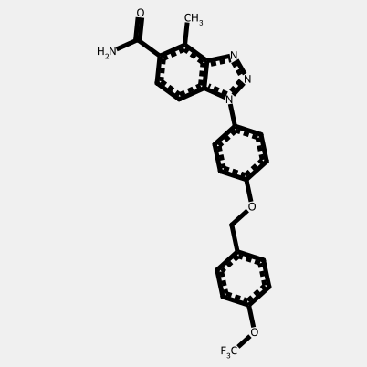 Cc1c(C(N)=O)ccc2c1nnn2-c1ccc(OCc2ccc(OC(F)(F)F)cc2)cc1